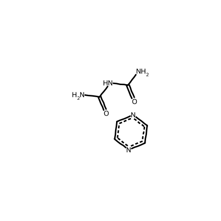 NC(=O)NC(N)=O.c1cnccn1